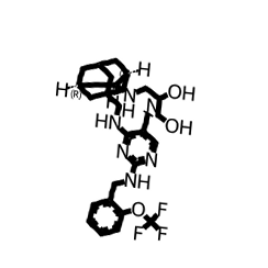 N#Cc1cnc(NCc2ccccc2OC(F)(F)F)nc1NCC12CC3C[C@H](C1)[C@H](NCC(O)CO)[C@@H](C3)C2